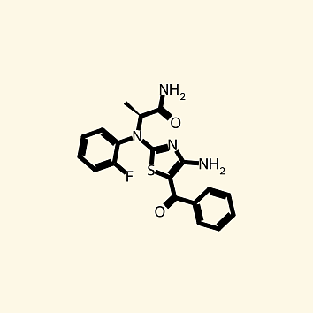 C[C@@H](C(N)=O)N(c1nc(N)c(C(=O)c2ccccc2)s1)c1ccccc1F